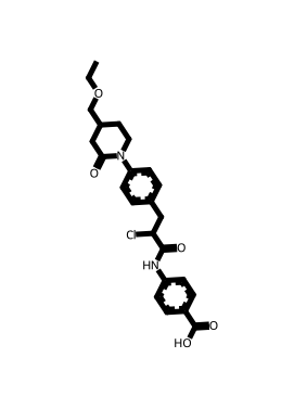 CCOCC1CCN(c2ccc(CC(Cl)C(=O)Nc3ccc(C(=O)O)cc3)cc2)C(=O)C1